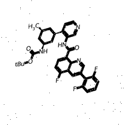 C[C@@H]1C[C@H](NC(=O)OC(C)(C)C)C[C@H](c2ccncc2NC(=O)C2=CC=C(F)C3C=C(c4c(F)cccc4F)C=NC23)C1